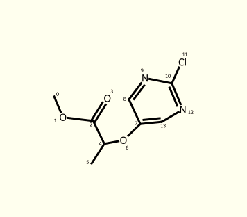 COC(=O)C(C)Oc1cnc(Cl)nc1